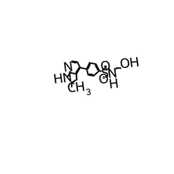 CC1Cc2c(-c3ccc(S(=O)(=O)NCCO)cc3)ccnc2N1